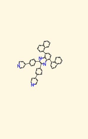 c1ccc2c(-c3ccc(-c4cccc5ccccc45)c4nc(-c5ccc(-c6ccncc6)cc5)c(-c5ccc(-c6ccncc6)cc5)nc34)cccc2c1